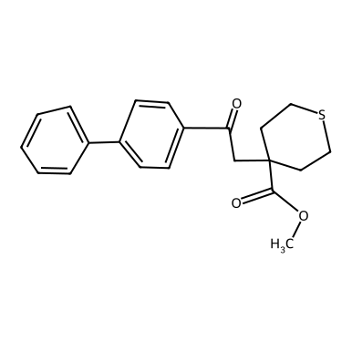 COC(=O)C1(CC(=O)c2ccc(-c3ccccc3)cc2)CCSCC1